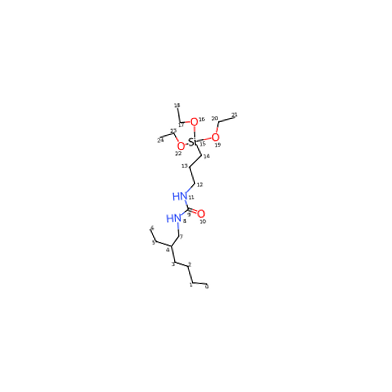 CCCCC(CC)CNC(=O)NCCC[Si](OCC)(OCC)OCC